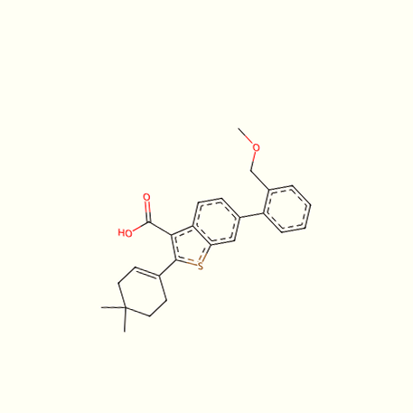 COCc1ccccc1-c1ccc2c(C(=O)O)c(C3=CCC(C)(C)CC3)sc2c1